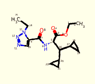 CCOC(=O)[C@@H](NC(=O)c1cnnn1CC)C(C1CC1)C1CC1